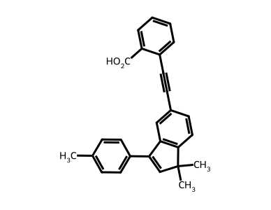 Cc1ccc(C2=CC(C)(C)c3ccc(C#Cc4ccccc4C(=O)O)cc32)cc1